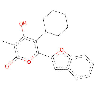 Cc1c(O)c(C2CCCCC2)c(-c2cc3ccccc3o2)oc1=O